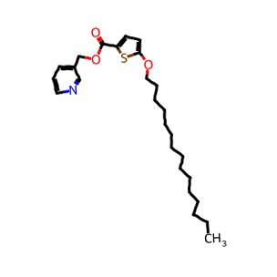 CCCCCCCCCCCCCCCOc1ccc(C(=O)OCc2cccnc2)s1